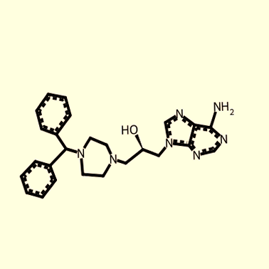 Nc1ncnc2c1ncn2C[C@H](O)CN1CCN(C(c2ccccc2)c2ccccc2)CC1